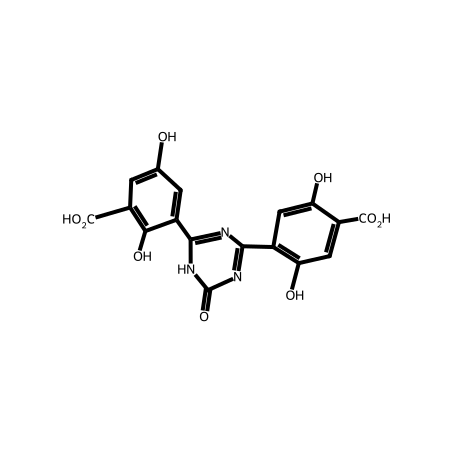 O=C(O)c1cc(O)c(-c2nc(-c3cc(O)cc(C(=O)O)c3O)[nH]c(=O)n2)cc1O